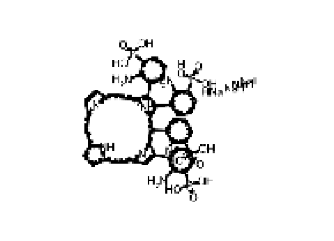 Nc1c(C2=Cc3cc4ccc(cc5nc(cc6[nH]c(c(-c7cccc(P(=O)(O)O)c7N)c2n3)c(-c2cccc(P(=O)(O)O)c2N)c6-c2cccc(P(=O)(O)O)c2N)C=C5)[nH]4)cccc1P(=O)(O)O.[NaH].[NaH].[NaH].[NaH]